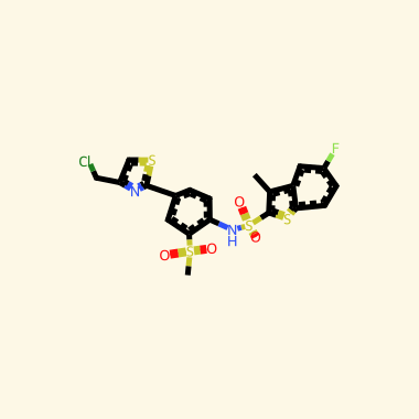 Cc1c(S(=O)(=O)Nc2ccc(-c3nc(CCl)cs3)cc2S(C)(=O)=O)sc2ccc(F)cc12